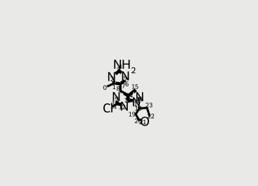 Cc1nc(N)ncc1-c1nc(Cl)nc2c1cnn2C1CCOCC1